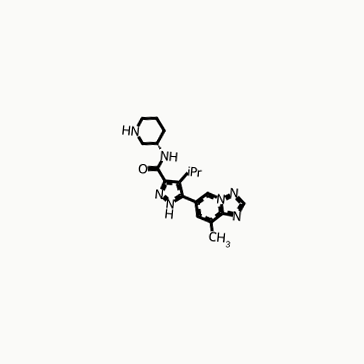 Cc1cc(-c2[nH]nc(C(=O)N[C@H]3CCCNC3)c2C(C)C)cn2ncnc12